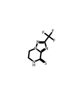 FC(F)(F)c1nc2n(n1)CCNC2=S